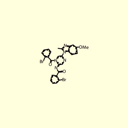 COc1ccc2c(c1)nc(C)n2-c1cn(C(=O)c2ccccc2Br)/c(=N/C(=O)c2ccccc2Br)cn1